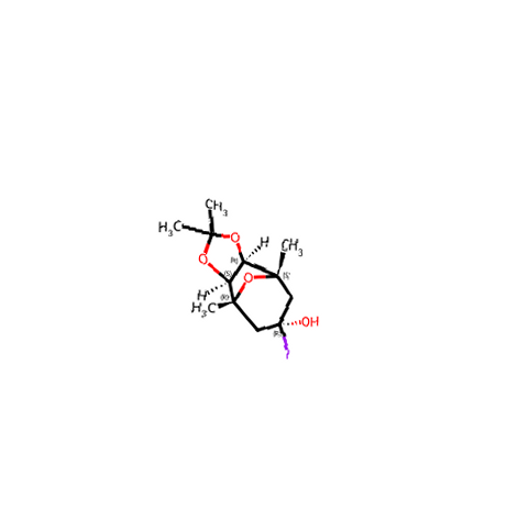 CC1(C)O[C@@H]2[C@H](O1)[C@@]1(C)C[C@](O)(I)C[C@]2(C)O1